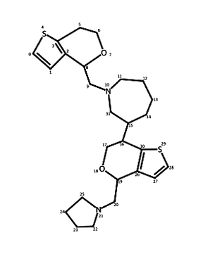 c1cc2c(s1)CCOC2CN1CCCCC(C2COC(CN3CCCC3)c3ccsc32)C1